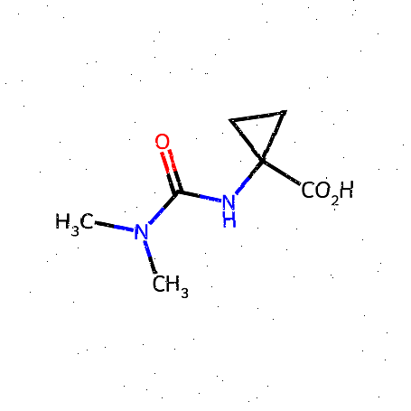 CN(C)C(=O)NC1(C(=O)O)CC1